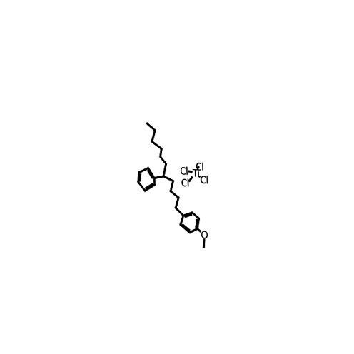 CCCCCCC(CCCCc1ccc(OC)cc1)c1ccccc1.[Cl][Ti]([Cl])([Cl])[Cl]